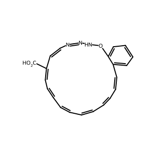 O=C(O)c1cccccccccccc2ccccc2o[nH]nncc1